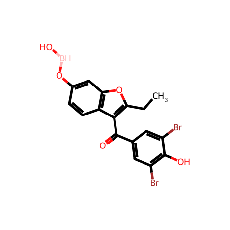 CCc1oc2cc(OBO)ccc2c1C(=O)c1cc(Br)c(O)c(Br)c1